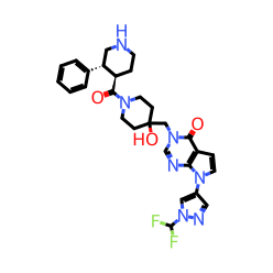 O=C([C@@H]1CCNC[C@H]1c1ccccc1)N1CCC(O)(Cn2cnc3c(ccn3-c3cnn(C(F)F)c3)c2=O)CC1